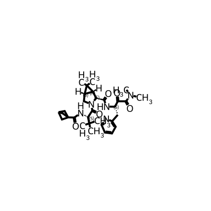 CN(C)C(=O)C(=O)[C@H](Cc1ccccn1)NC(=O)[C@@H]1[C@@H]2[C@H](CN1C(=O)[C@@H](NC(=O)C13CC(C1)C3)C(C)(C)C)C2(C)C